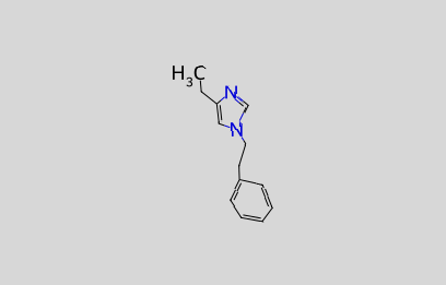 CCc1cn(CCc2ccccc2)cn1